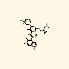 C=N/C(=C(/F)c1nc(OCC2(CN(C)C)CC2)nc(N2CCC[C@@](C)(O)C2)c1C)c1c(C)c(C)cc2[nH]ncc12